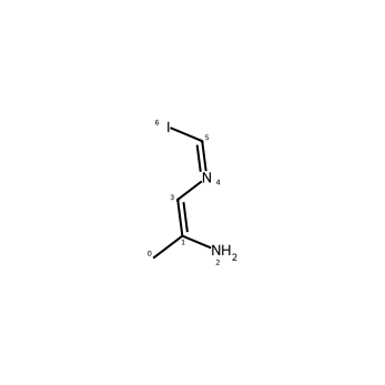 C/C(N)=C/N=C\I